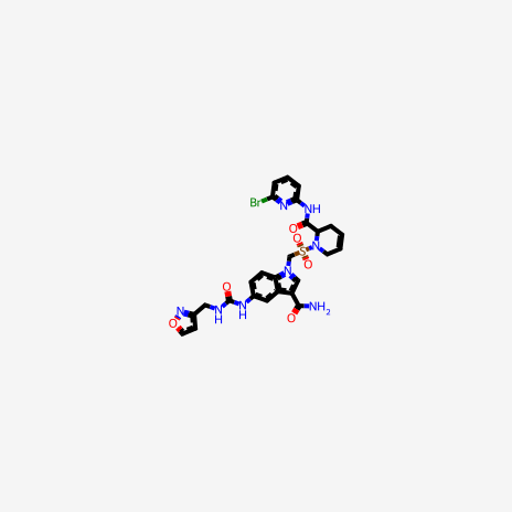 NC(=O)c1cn(CS(=O)(=O)N2CC=CCC2C(=O)Nc2cccc(Br)n2)c2ccc(NC(=O)NCc3ccon3)cc12